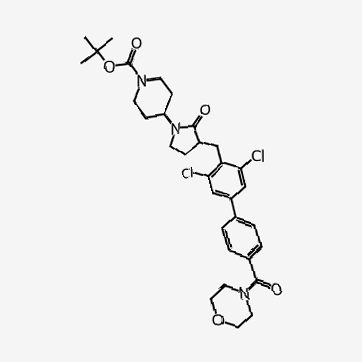 CC(C)(C)OC(=O)N1CCC(N2CCC(Cc3c(Cl)cc(-c4ccc(C(=O)N5CCOCC5)cc4)cc3Cl)C2=O)CC1